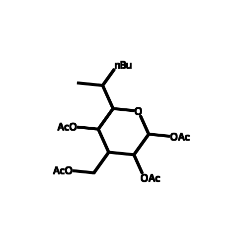 CCCCC(C)C1OC(OC(C)=O)C(OC(C)=O)C(COC(C)=O)C1OC(C)=O